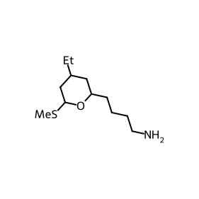 CCC1CC(CCCCN)OC(SC)C1